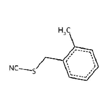 Cc1ccccc1CSC#N